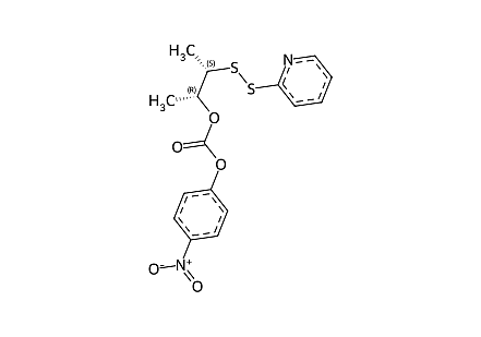 C[C@H](SSc1ccccn1)[C@@H](C)OC(=O)Oc1ccc([N+](=O)[O-])cc1